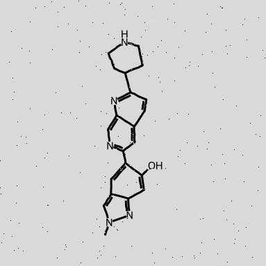 Cn1cc2cc(-c3cc4ccc(C5CCNCC5)nc4cn3)c(O)cc2n1